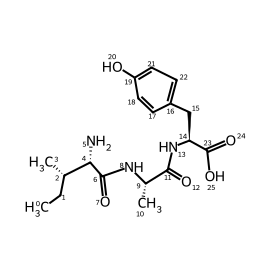 CC[C@H](C)[C@H](N)C(=O)N[C@@H](C)C(=O)N[C@@H](Cc1ccc(O)cc1)C(=O)O